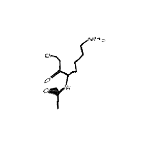 CC(=O)NC(CCCCN)C(=O)CCl